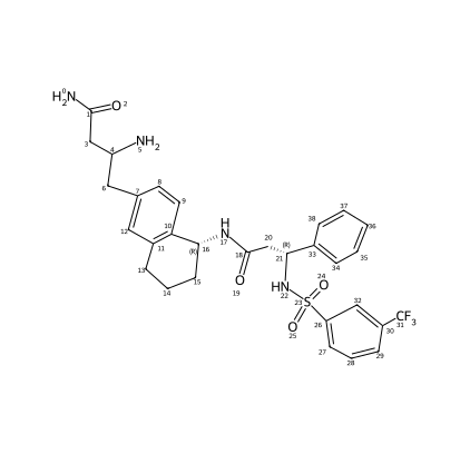 NC(=O)CC(N)Cc1ccc2c(c1)CCC[C@H]2NC(=O)C[C@@H](NS(=O)(=O)c1cccc(C(F)(F)F)c1)c1ccccc1